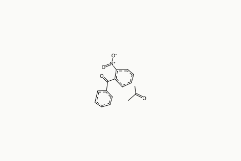 CC(C)=O.O=C(c1ccccc1)c1ccccc1[N+](=O)[O-]